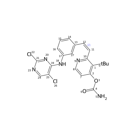 CC(C)(C)c1c(OC(N)=O)ccnc1/C=C\c1cccc(Nc2nc(Cl)ncc2Cl)c1